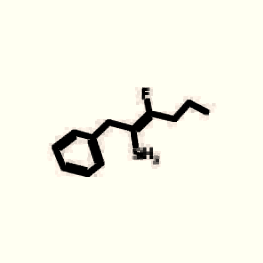 CCCC(F)=C([SiH3])Cc1ccccc1